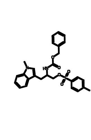 Cc1ccc(S(=O)(=O)OCC(Cc2cn(C)c3ccccc23)NC(=O)OCc2ccccc2)cc1